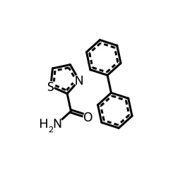 NC(=O)c1nccs1.c1ccc(-c2ccccc2)cc1